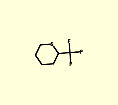 FC(F)(F)C1CCCCS1